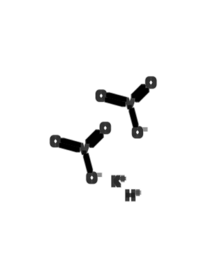 [H+].[K+].[O]=[V](=[O])[O-].[O]=[V](=[O])[O-]